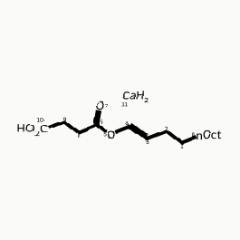 CCCCCCCCCCC=COC(=O)CCC(=O)O.[CaH2]